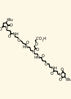 CC(C)(C)C1CC(=O)N(CCC(=O)NCCOCCC(=O)NCCN(CCNC(=O)CCOCCNC(=O)CCN2C(=O)CC(C(C)(C)C)C2=O)C(=O)COCC(=O)O)C1=O